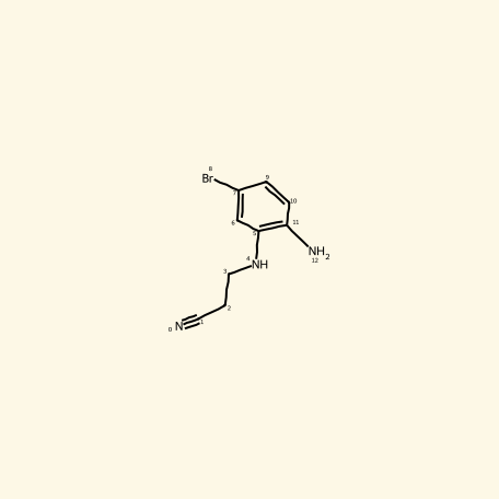 N#CCCNc1cc(Br)ccc1N